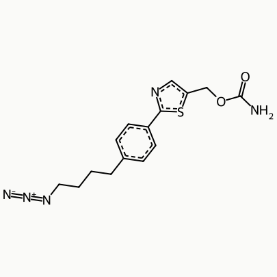 [N-]=[N+]=NCCCCc1ccc(-c2ncc(COC(N)=O)s2)cc1